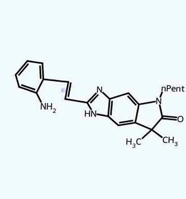 CCCCCN1C(=O)C(C)(C)c2cc3[nH]c(/C=C/c4ccccc4N)nc3cc21